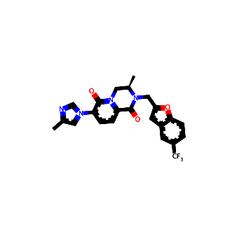 Cc1cn(-c2ccc3n(c2=O)C[C@@H](C)N(Cc2cc4cc(C(F)(F)F)ccc4o2)C3=O)cn1